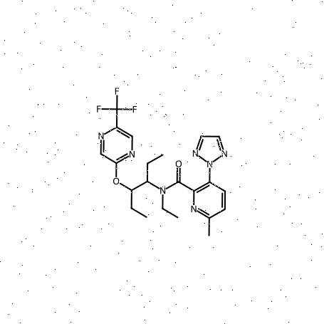 CCC(Oc1cnc(C(F)(F)F)cn1)C(CC)N(CC)C(=O)c1nc(C)ccc1-n1nccn1